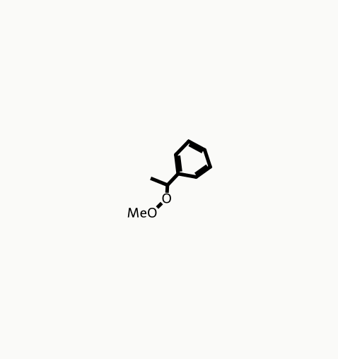 COOC(C)c1ccccc1